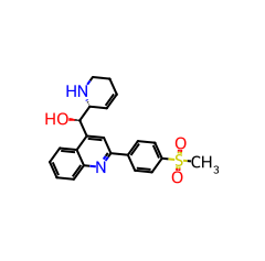 CS(=O)(=O)c1ccc(-c2cc([C@@H](O)[C@H]3C=CCCN3)c3ccccc3n2)cc1